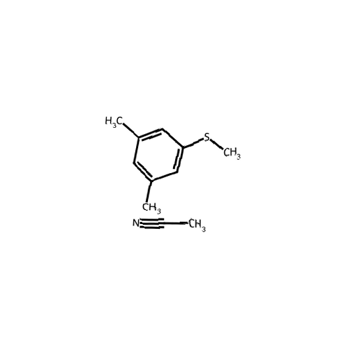 CC#N.CSc1cc(C)cc(C)c1